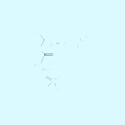 CCOC(C)=O.O.O.O.O.O.O=S(=O)([O-])[S-].[Na+].[Na+]